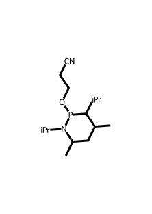 CC(C)C1C(C)CC(C)N(C(C)C)P1OCCC#N